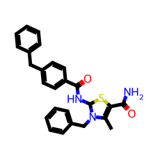 CC1=C(C(N)=O)SC(NC(=O)c2ccc(Cc3ccccc3)cc2)N1Cc1ccccc1